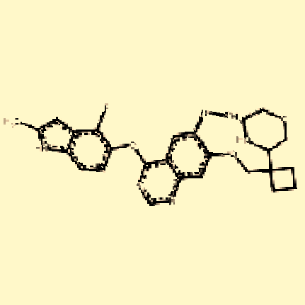 COc1cc2c(Oc3ccc4[nH]c(C)cc4c3F)ncnc2cc1OCC1(C2COCCN2)CCC1